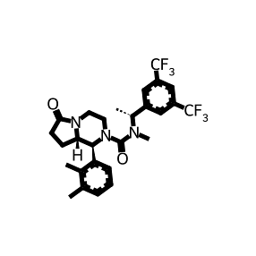 Cc1cccc([C@H]2[C@@H]3CCC(=O)N3CCN2C(=O)N(C)[C@H](C)c2cc(C(F)(F)F)cc(C(F)(F)F)c2)c1C